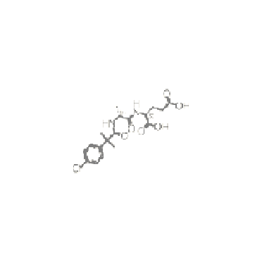 C[C@@H](NC(=O)C(C)(C)c1ccc(Cl)cc1)C(=O)N[C@@H](CCC(=O)O)C(=O)O